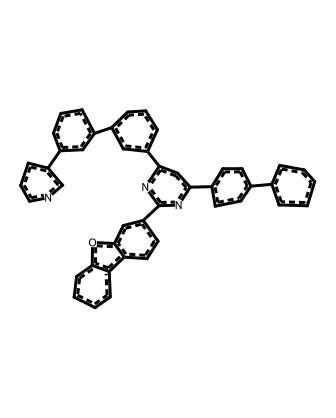 c1ccc(-c2ccc(-c3cc(-c4cccc(-c5cccc(-c6cccnc6)c5)c4)nc(-c4ccc5c(c4)oc4ccccc45)n3)cc2)cc1